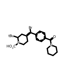 CC(C)(C)C1CC(=C(Br)c2ccc(C(=O)N3CCCCC3)cc2)CCN1C(=O)O